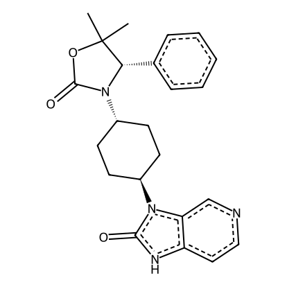 CC1(C)OC(=O)N([C@H]2CC[C@H](n3c(=O)[nH]c4ccncc43)CC2)[C@H]1c1ccccc1